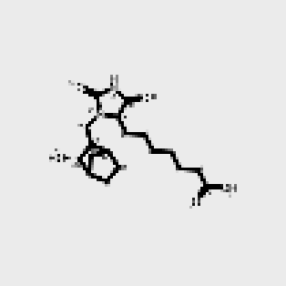 O=C(O)CCCCCCC1C(=O)NC(=O)N1CC1C2CCC(C2)[C@@H]1O